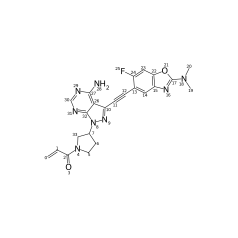 C=CC(=O)N1CCC(n2nc(C#Cc3cc4nc(N(C)C)oc4cc3F)c3c(N)ncnc32)C1